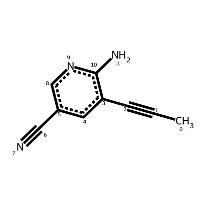 CC#Cc1cc(C#N)cnc1N